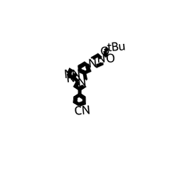 CC(C)(C)OC(=O)N1CCN(c2ccc3c(c2)Cn2cc(-c4ccc(C#N)cc4)cc2-c2nncn2-3)CC1